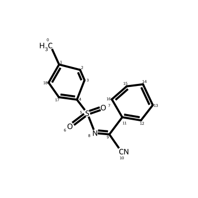 Cc1ccc(S(=O)(=O)N=C(C#N)c2ccccc2)cc1